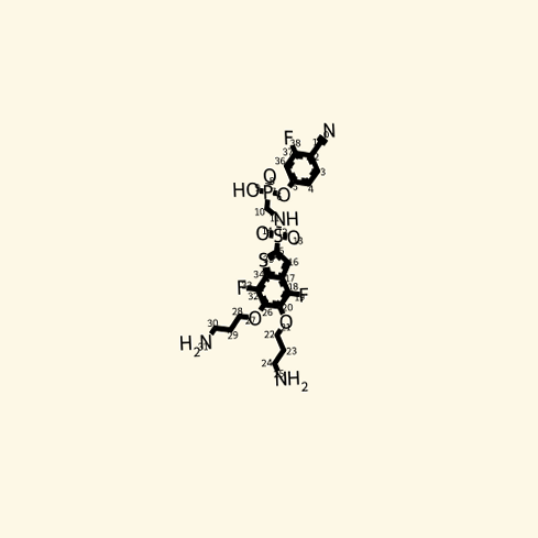 N#Cc1ccc(OP(=O)(O)CNS(=O)(=O)c2cc3c(F)c(OCCCN)c(OCCCN)c(F)c3s2)cc1F